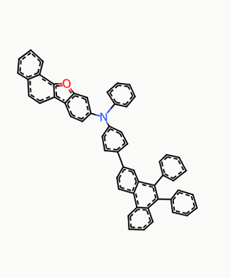 c1ccc(-c2c(-c3ccccc3)c3cc(-c4ccc(N(c5ccccc5)c5ccc6c(c5)oc5c7ccccc7ccc65)cc4)ccc3c3ccccc23)cc1